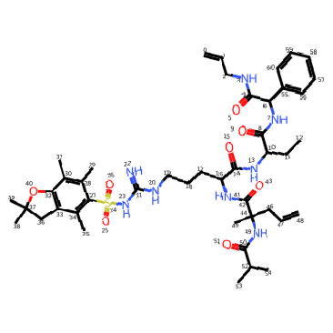 C=CCNC(=O)C(NC(=O)C(CC)NC(=O)C(CCCNC(=N)NS(=O)(=O)c1c(C)c(C)c2c(c1C)CC(C)(C)O2)NC(=O)C(C)(CC=C)NC(=O)C(C)C)c1ccccc1